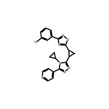 Clc1cccc(-c2noc(C3CC3c3nnc(-c4ccncc4)n3C3CC3)n2)c1